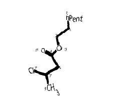 CCCCCCCOC(=O)CC(C)Cl